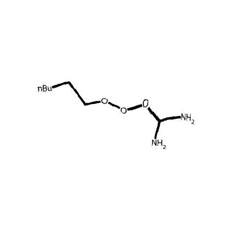 CCCCCCOOOC(N)N